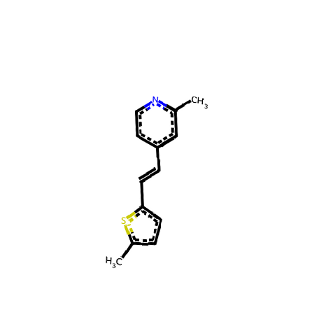 Cc1cc(/C=C/c2ccc(C)s2)ccn1